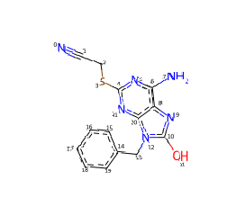 N#CCSc1nc(N)c2nc(O)n(Cc3ccccc3)c2n1